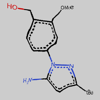 COc1cc(-n2nc(C(C)(C)C)cc2N)ccc1CO